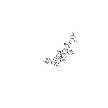 Cc1oc(=O)oc1COC(=O)O[C@H]1CC[C@@]2(C)C(CC[C@]3(C)[C@@H]2C(=O)C=C2[C@@H]4C[C@@](C)(C(=O)O)CC[C@]4(C)CC[C@]23C)[C@]1(C)CO